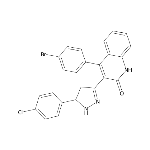 O=c1[nH]c2ccccc2c(-c2ccc(Br)cc2)c1C1=NNC(c2ccc(Cl)cc2)C1